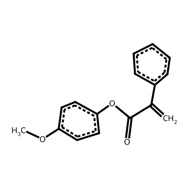 C=C(C(=O)Oc1ccc(OC)cc1)c1ccccc1